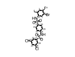 Cc1cc(F)c(Br)cc1NS(=O)(=O)c1ccc(NS(=O)(=O)c2cc(Cl)cc(Cl)c2)cc1